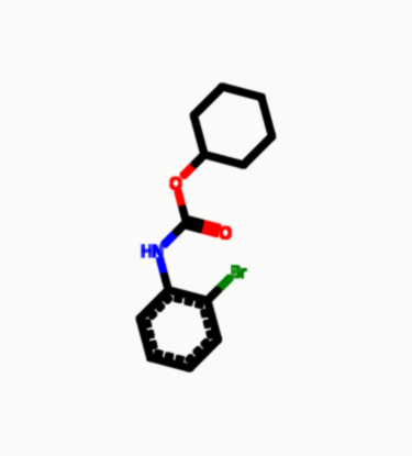 O=C(Nc1ccccc1Br)OC1CCCCC1